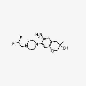 CC1(O)COc2cc(N3CCN(CC(F)F)CC3)c(N)cc2C1